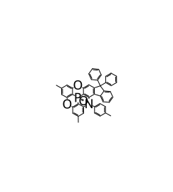 Cc1ccc(N2c3cc(C)cc4c3P3(=O)c5c(cc(C)cc5Oc5cc6c(c2c53)-c2ccccc2C6(c2ccccc2)c2ccccc2)O4)cc1